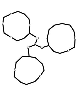 C1CCCCCC(OP(OC2CCCCCCCCCCC2)OC2CCCCCCCCCCC2)CCCCC1